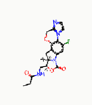 CCC(=O)NC[C@@H]1OC(=O)N2c3cc(F)c4c(c3C[C@@H]12)OCc1nccn1-4